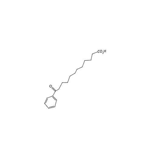 O=C(O)CCCCCCCCCCC(=O)c1ccccc1